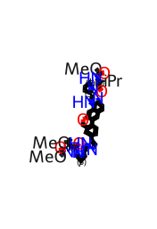 COC(=O)N[C@H](C(=O)N1[C@@H](C)CC[C@H]1c1nc2ccc3cc4c(cc3c2[nH]1)OCc1cc(-c2cnc(C3C[C@H](C)CN3C(=O)[C@@H](NC(=O)OC)C(C)OC)[nH]2)ccc1-4)C(C)C